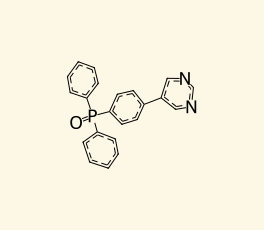 O=P(c1ccccc1)(c1ccccc1)c1ccc(-c2cncnc2)cc1